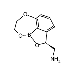 NC[C@H]1OB2OCCOc3cccc1c32